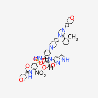 Cc1ccccc1[C@@H]1CN(C2CC3(CCOCC3)C2)CCN1C1CC2(CCN(c3ccc(C(=O)NS(=O)(=O)c4cc5c(c([N+](=O)[O-])c4)N[C@H](C4CCOCC4)CO5)c(N4c5cc6cc[nH]c6nc5O[C@H]5COCC[C@@H]54)c3)CC2)C1